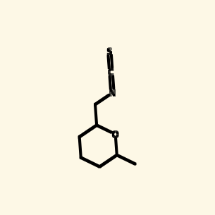 CC1CCCC(CN=C=S)O1